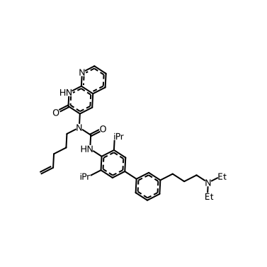 C=CCCCN(C(=O)Nc1c(C(C)C)cc(-c2cccc(CCCN(CC)CC)c2)cc1C(C)C)c1cc2cccnc2[nH]c1=O